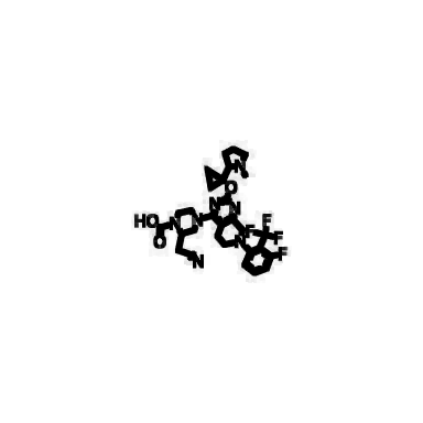 CN1CCCC1C1(Oc2nc3c(c(N4CCN(C(=O)O)C(CC#N)C4)n2)CCN(c2cccc(F)c2C(F)(F)F)C3)CC1